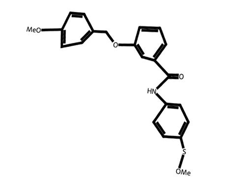 COSc1ccc(NC(=O)c2cccc(OCc3ccc(OC)cc3)c2)cc1